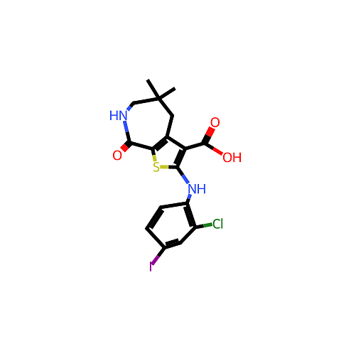 CC1(C)CNC(=O)c2sc(Nc3ccc(I)cc3Cl)c(C(=O)O)c2C1